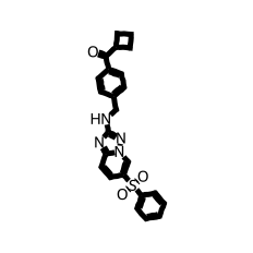 O=C(c1ccc(CNc2nc3ccc(S(=O)(=O)c4ccccc4)cn3n2)cc1)C1CCC1